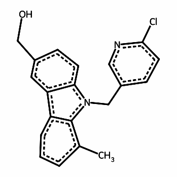 Cc1cccc2c3cc(CO)ccc3n(Cc3ccc(Cl)nc3)c12